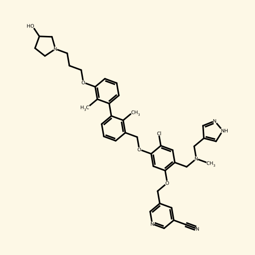 Cc1c(COc2cc(OCc3cncc(C#N)c3)c(CN(C)Cc3cn[nH]c3)cc2Cl)cccc1-c1cccc(OCCCN2CCC(O)C2)c1C